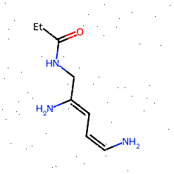 CCC(=O)NC/C(N)=C/C=C\N